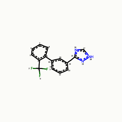 FC(F)(F)c1ccccc1-c1cccc(-c2nc[nH]n2)c1